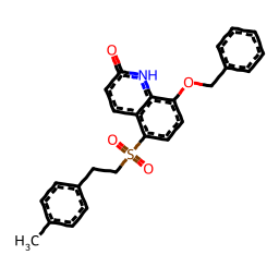 Cc1ccc(CCS(=O)(=O)c2ccc(OCc3ccccc3)c3[nH]c(=O)ccc23)cc1